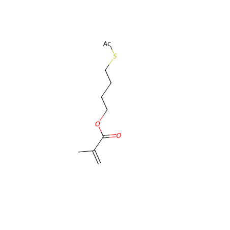 C=C(C)C(=O)OCCCCSC(C)=O